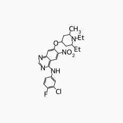 CCC1CC(Oc2cc3ncnc(Nc4ccc(F)c(Cl)c4)c3cc2[N+](=O)[O-])CC(C)N1CC